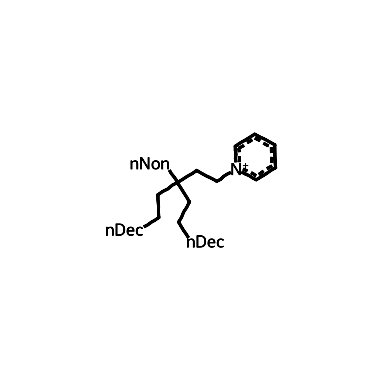 CCCCCCCCCCCCC(CCCCCCCCC)(CCCCCCCCCCCC)CC[n+]1ccccc1